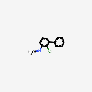 C=Nc1cccc(-c2ccccc2)c1Cl